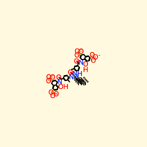 Cc1cc(C(=O)N=C2C=C(S(=O)(=O)[O-])Cc3cc(S(=O)(=O)[O-])cc(O)c32)ccc1NC(=O)Nc1ccc(C(=O)N=C2C=C(S(=O)(=O)[O-])Cc3cc(S(=O)(=O)[O-])cc(O)c32)cc1C.[Na+].[Na+].[Na+].[Na+]